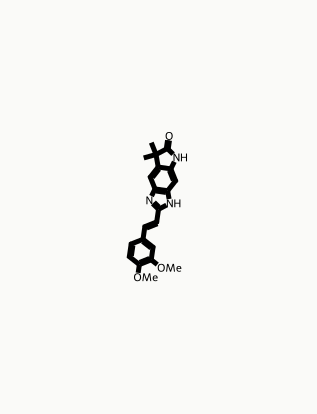 COc1ccc(C=Cc2nc3cc4c(cc3[nH]2)NC(=O)C4(C)C)cc1OC